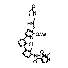 COc1nc(-c2cccc(-c3cccc(NC(=O)c4ccnn(C)c4=O)c3C)c2Cl)cnc1CNC[C@@H]1CCC(=O)N1